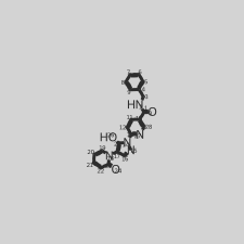 O=C(NCc1ccccc1)c1ccc(-n2ncc(-n3ccccc3=O)c2O)nc1